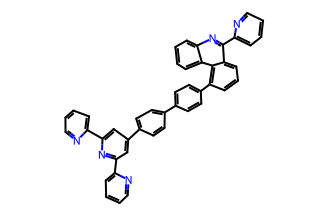 c1ccc(-c2cc(-c3ccc(-c4ccc(-c5cccc6c(-c7ccccn7)nc7ccccc7c56)cc4)cc3)cc(-c3ccccn3)n2)nc1